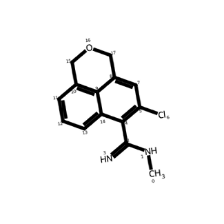 CNC(=N)c1c(Cl)cc2c3c(cccc13)COC2